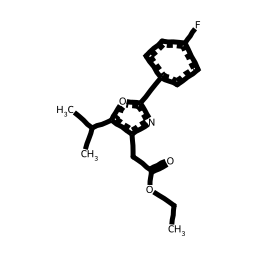 CCOC(=O)Cc1nc(-c2ccc(F)cc2)oc1C(C)C